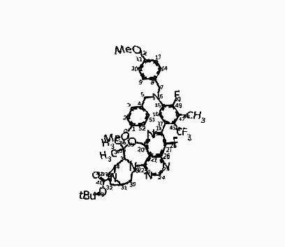 COc1ccc(CN(Cc2ccc(OC)cc2)c2cc(-c3nc4c5c(ncnc5c3F)N3CC5CCC(C3C(C)(C)O4)N5C(=O)OC(C)(C)C)c(C(F)(F)F)c(C)c2F)cc1